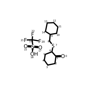 O=C1CCCCC1SCC1CCCCC1.O=S(=O)(O)C(F)(F)F